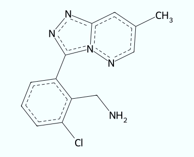 Cc1cnn2c(-c3cccc(Cl)c3CN)nnc2c1